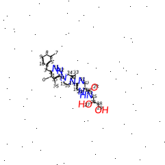 Cc1c(CC2=CC(C)CC=C2)nnc(N2CCN(c3cnc(C(=O)NCC(O)CO)cn3)[C@H](C)C2)c1C